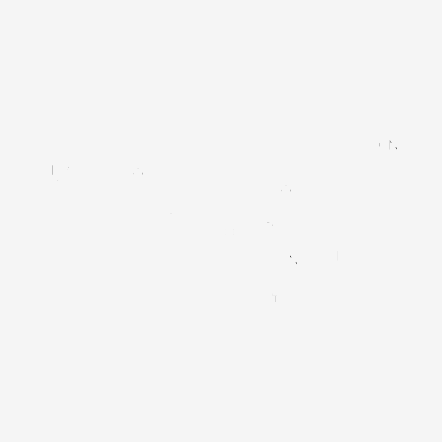 B[C@H]1CC[C@@H](COP(OCCC#N)N(C(C)C)C(C)C)O1